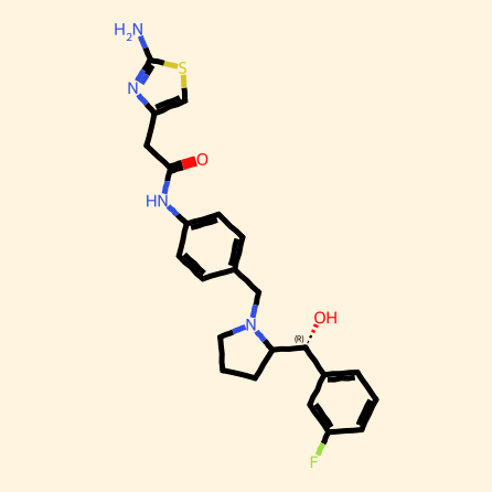 Nc1nc(CC(=O)Nc2ccc(CN3CCCC3[C@H](O)c3cccc(F)c3)cc2)cs1